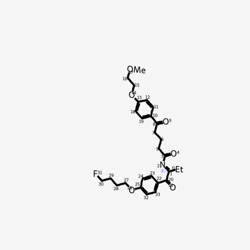 CC/C(=N\C(=O)CCCC(=O)c1ccc(OCCOC)cc1)C(=O)c1ccc(OCCCCF)cc1